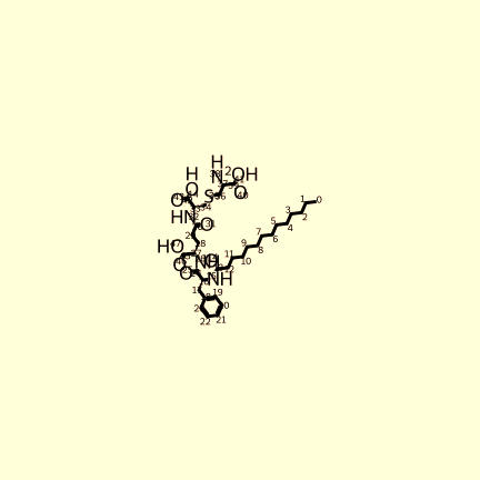 CCCCCCCCCCCCCC(=O)N[C@@H](Cc1ccccc1)C(=O)N[C@H](CCC(=O)N[C@H](CSC[C@H](N)C(=O)O)C(=O)O)C(=O)O